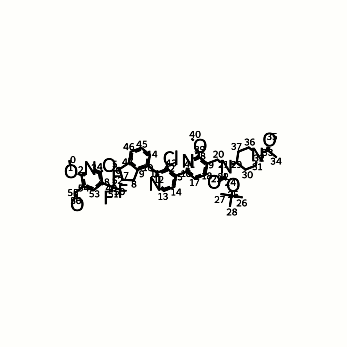 COc1nc(O[C@H]2CCc3c(-c4nccc(-c5ccc(CN(C(=O)OC(C)(C)C)C6CCN(C(C)=O)CC6)c(OC)n5)c4Cl)cccc32)c(C(F)(F)F)cc1C=O